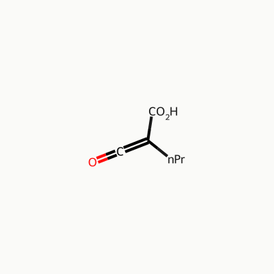 CCCC(=C=O)C(=O)O